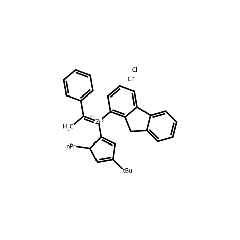 CCCC1C=C(C(C)(C)C)C=[C]1/[Zr+2](=[C](\C)c1ccccc1)[c]1cccc2c1Cc1ccccc1-2.[Cl-].[Cl-]